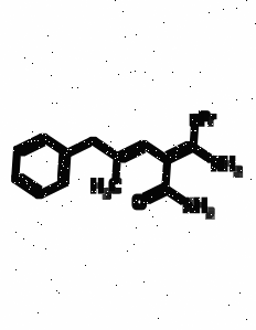 CCC/C(N)=C(\C=C(/C)Cc1ccccc1)C(N)=O